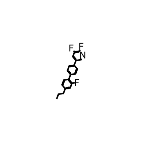 CCCc1ccc(-c2ccc(-c3cnc(F)c(F)c3)cc2)c(F)c1